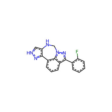 Fc1ccccc1-c1nn2c3c(cccc13)-c1n[nH]cc1NC2